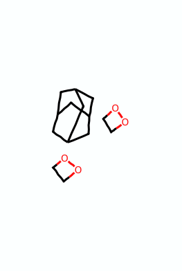 C1C2CC3CC1CC(C2)C3.C1COO1.C1COO1